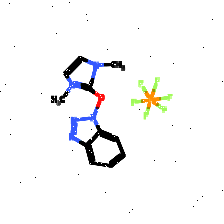 Cn1cc[n+](C)c1On1nnc2ccccc21.F[P-](F)(F)(F)(F)F